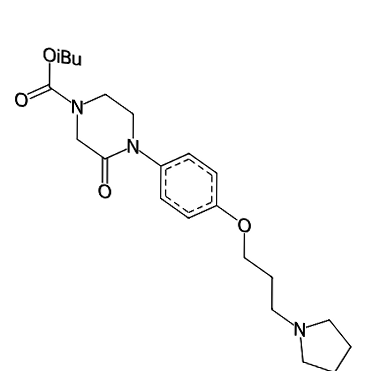 CC(C)COC(=O)N1CCN(c2ccc(OCCCN3CCCC3)cc2)C(=O)C1